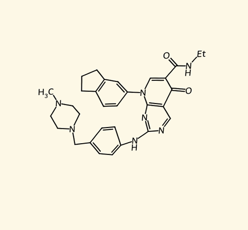 CCNC(=O)c1cn(-c2ccc3c(c2)CCC3)c2nc(Nc3ccc(CN4CCN(C)CC4)cc3)ncc2c1=O